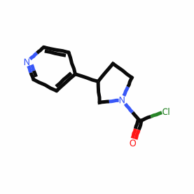 O=C(Cl)N1CCC(c2ccncc2)C1